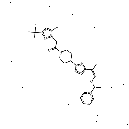 CC(=NOC(C)c1ccccc1)c1csc(C2CCN(C(=O)Cn3nc(C(F)(F)F)cc3C)CC2)n1